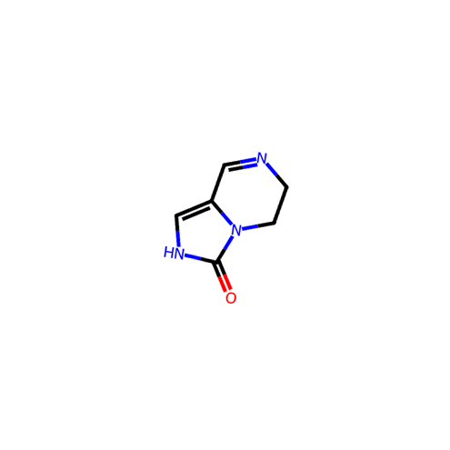 O=c1[nH]cc2n1CCN=C2